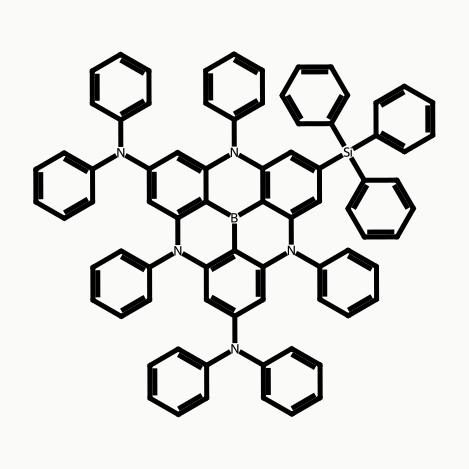 c1ccc(N(c2ccccc2)c2cc3c4c(c2)N(c2ccccc2)c2cc([Si](c5ccccc5)(c5ccccc5)c5ccccc5)cc5c2B4c2c(cc(N(c4ccccc4)c4ccccc4)cc2N5c2ccccc2)N3c2ccccc2)cc1